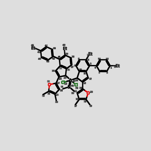 CCc1ccc(-c2c(CC)ccc3c2C=C(c2cc(C)c(C)o2)[CH]3[Zr]([Cl])([Cl])([CH]2C(c3cc(C)c(C)o3)=Cc3c2ccc(CC)c3-c2ccc(CC)cc2)=[Si](C)C)cc1